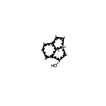 Cl.c1cc2ccn3ccc(c1)c23